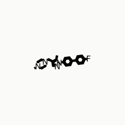 Cc1c(CN2CCN(C)CC2)cnn1-c1ccc(-c2ccc(F)cc2)cc1